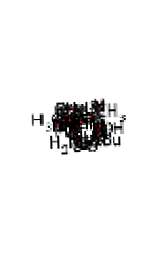 Cc1ncsc1-c1ccc([C@H]2NC(=O)[C@@H]3C[C@@H](O)CN3C(=O)[C@H](C(C)(C)C)NC(=O)CSC[C@H](C(N)=O)NC(=O)[C@H](NC(=O)C[C@@H]3C=C(c4ccc(Cl)cc4)c4c(sc(C)c4C)-n4c(C)nnc43)NC(=O)CNC2=O)cc1